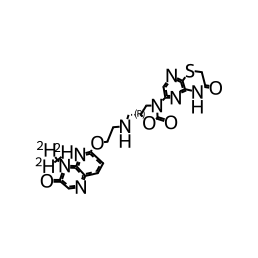 [2H]C([2H])([2H])n1c(=O)cnc2ccc(OCCNC[C@@H]3CN(c4cnc5c(n4)NC(=O)CS5)C(=O)O3)nc21